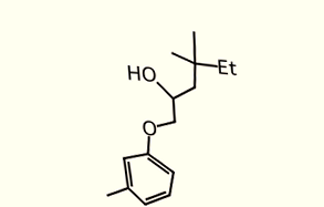 CCC(C)(C)CC(O)COc1cccc(C)c1